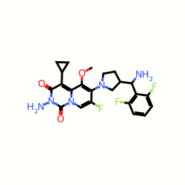 COc1c(N2CCC(C(N)c3c(F)cccc3F)C2)c(F)cn2c(=O)n(N)c(=O)c(C3CC3)c12